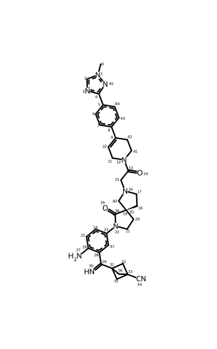 Cn1cnc(-c2ccc(C3=CCN(C(=O)CN4CC[C@]5(CCN(c6ccc(N)c(C(=N)C78CC(C#N)(C7)C8)c6)C5=O)C4)CC3)cc2)n1